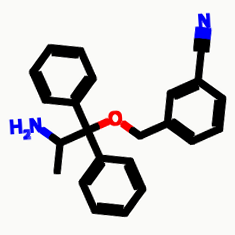 CC(N)C(OCc1cccc(C#N)c1)(c1ccccc1)c1ccccc1